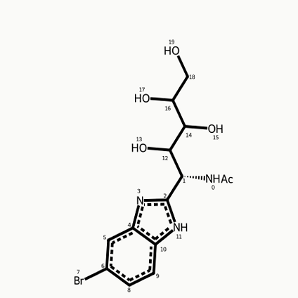 CC(=O)N[C@H](c1nc2cc(Br)ccc2[nH]1)C(O)C(O)C(O)CO